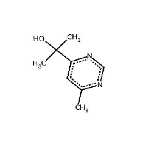 Cc1cc(C(C)(C)O)ncn1